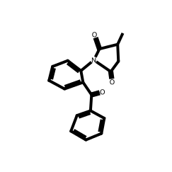 CC1CC(=O)N(c2ccccc2C(=O)c2ccccc2)C1=O